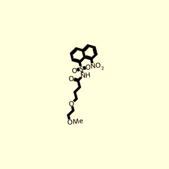 COCCOCCCC(=O)NS(=O)(=O)c1cccc2cccc([N+](=O)[O-])c12